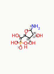 NC1O[C@H](C(O)P(=O)(O)O)[C@@H](O)[C@H]1O